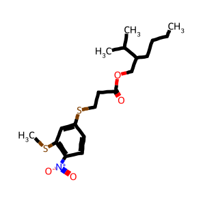 CCCCC(COC(=O)CCSc1ccc([N+](=O)[O-])c(SC)c1)C(C)C